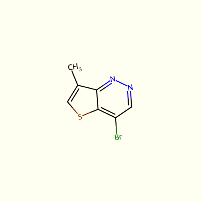 Cc1csc2c(Br)cnnc12